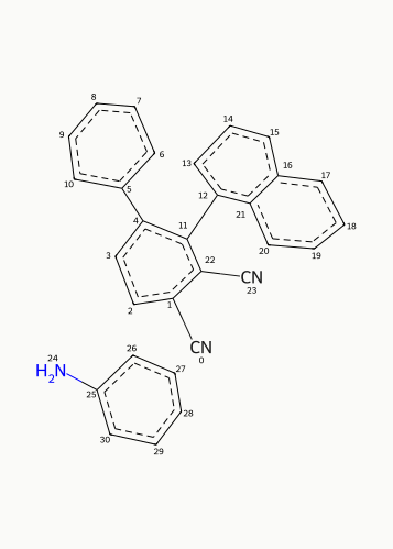 N#Cc1ccc(-c2ccccc2)c(-c2cccc3ccccc23)c1C#N.Nc1ccccc1